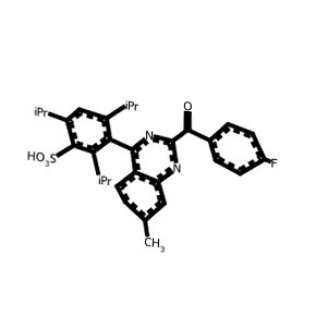 Cc1ccc2c(-c3c(C(C)C)cc(C(C)C)c(S(=O)(=O)O)c3C(C)C)nc(C(=O)c3ccc(F)cc3)nc2c1